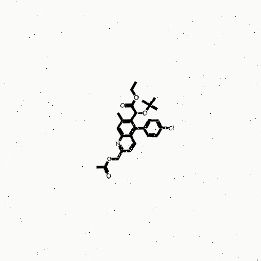 CCOC(=O)[C@@H](OC(C)(C)C)c1c(C)cc2nc(COC(C)=O)ccc2c1-c1ccc(Cl)cc1